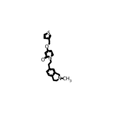 CN1CCc2ccc(CCn3ccc(OCc4ccsc4)cc3=O)cc2C1